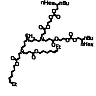 CC/C=C\CCCCOC(=O)CCN(CCCN(C)CCCN(CCC(=O)OCCOC(=O)OCC(CCCC)CCCCCC)CCC(=O)OCCOC(=O)OCC(CCCC)CCCCCC)CCC(=O)OCCCC/C=C\CC